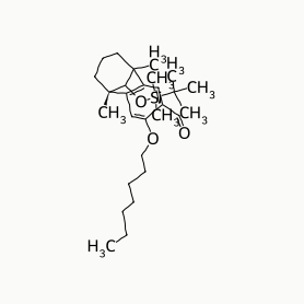 CCCCCCCOc1cc2c(cc1C=O)C1(C)CCC[C@]2(C)C1O[Si](C)(C)C(C)(C)C